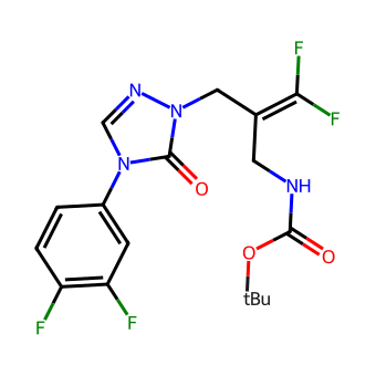 CC(C)(C)OC(=O)NCC(Cn1ncn(-c2ccc(F)c(F)c2)c1=O)=C(F)F